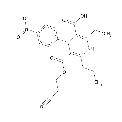 CCCC1=C(C(=O)OCCC#N)C(c2ccc([N+](=O)[O-])cc2)C(C(=O)O)=C(CC)N1